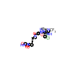 CC(C)(C)C[C@@H]1N[C@@H](C(=O)NC23CCC(C(=O)N4CCC[C@]5(C[C@H]5C#Cc5cccc6c5CN(C5CCC(=O)NC5=O)C6=O)C4)(CC2)CC3)[C@H](c2cccc(Cl)c2F)[C@]12CNc1cc(C(F)(F)F)ncc12